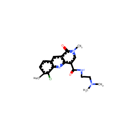 COc1ccc2cc3c(=O)n(C)cc(C(=O)NCCN(C)C)c3nc2c1Cl